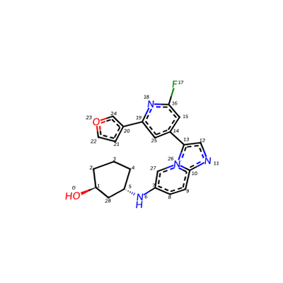 O[C@H]1CCC[C@H](Nc2ccc3ncc(-c4cc(F)nc(-c5ccoc5)c4)n3c2)C1